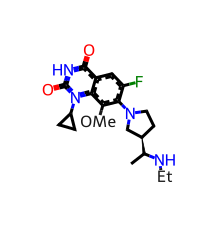 CCNC(C)[C@@H]1CCN(c2c(F)cc3c(=O)[nH]c(=O)n(C4CC4)c3c2OC)C1